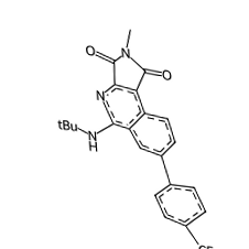 CN1C(=O)c2nc(NC(C)(C)C)c3cc(-c4ccc(C(F)(F)F)cc4)ccc3c2C1=O